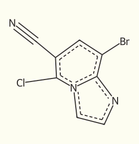 N#Cc1cc(Br)c2nccn2c1Cl